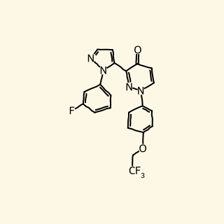 O=c1ccn(-c2ccc(OCC(F)(F)F)cc2)nc1-c1ccnn1-c1cccc(F)c1